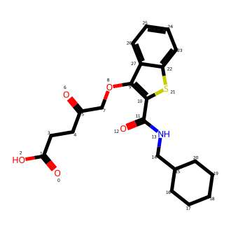 O=C(O)CCC(=O)COc1c(C(=O)NCC2CCCCC2)sc2ccccc12